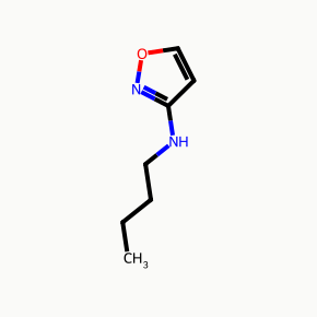 CCCCNc1ccon1